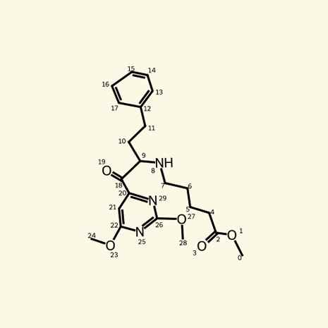 COC(=O)CCCCNC(CCc1ccccc1)C(=O)c1cc(OC)nc(OC)n1